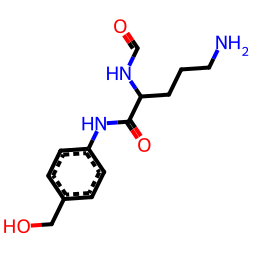 NCCCC(NC=O)C(=O)Nc1ccc(CO)cc1